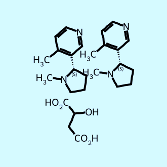 Cc1ccncc1[C@@H]1CCCN1C.Cc1ccncc1[C@@H]1CCCN1C.O=C(O)CC(O)C(=O)O